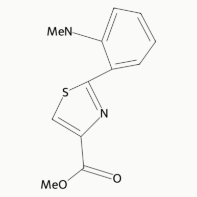 CNc1ccccc1-c1nc(C(=O)OC)cs1